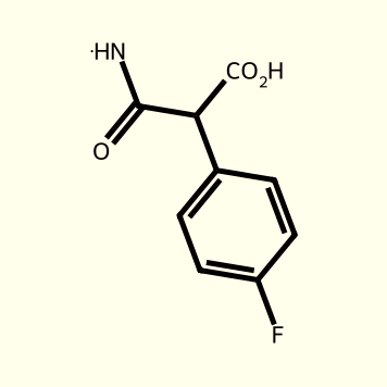 [NH]C(=O)C(C(=O)O)c1ccc(F)cc1